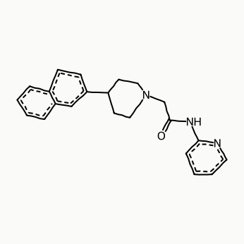 O=C(CN1CCC(c2ccc3ccccc3c2)CC1)Nc1ccccn1